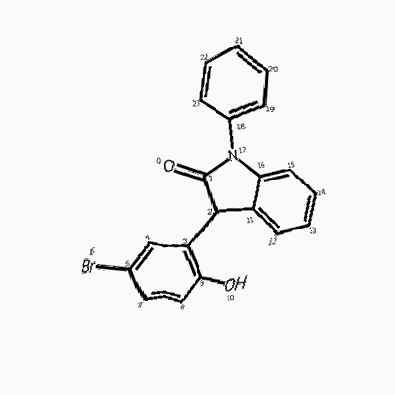 O=C1C(c2cc(Br)ccc2O)c2ccccc2N1c1ccccc1